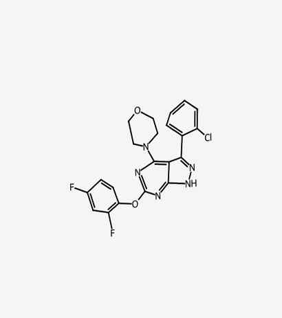 Fc1ccc(Oc2nc(N3CCOCC3)c3c(-c4ccccc4Cl)n[nH]c3n2)c(F)c1